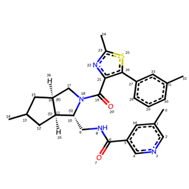 Cc1cncc(C(=O)NC[C@@H]2[C@H]3CC(C)C[C@H]3CN2C(=O)c2nc(C)sc2-c2cccc(C)c2)c1